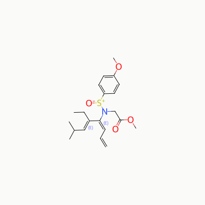 C=C/C=C(\C(=C\C(C)C)CC)N(CC(=O)OC)[S+]([O-])c1ccc(OC)cc1